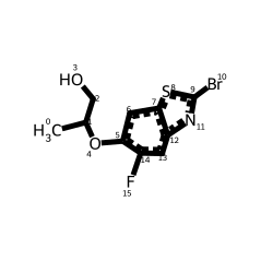 CC(CO)Oc1cc2sc(Br)nc2cc1F